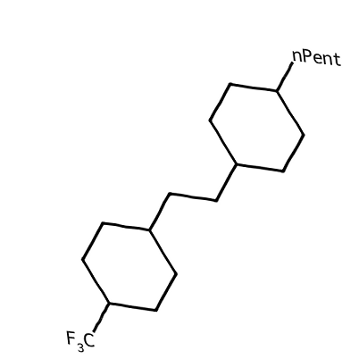 CCCCCC1CCC(CCC2CCC(C(F)(F)F)CC2)CC1